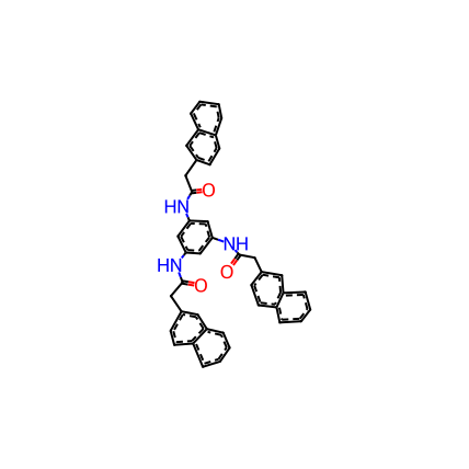 O=C(Cc1ccc2ccccc2c1)Nc1cc(NC(=O)Cc2ccc3ccccc3c2)cc(NC(=O)Cc2ccc3ccccc3c2)c1